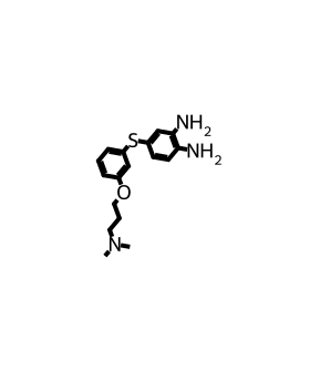 CN(C)CCCOc1cccc(Sc2ccc(N)c(N)c2)c1